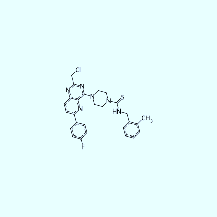 Cc1ccccc1CNC(=S)N1CCN(c2nc(CCl)nc3ccc(-c4ccc(F)cc4)nc23)CC1